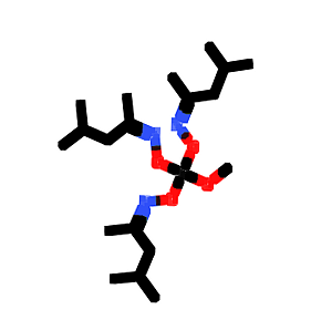 CO[Si](ON=C(C)CC(C)C)(ON=C(C)CC(C)C)ON=C(C)CC(C)C